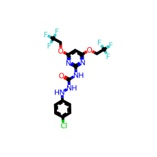 O=C(NNc1ccc(Cl)cc1)Nc1nc(OCC(F)(F)F)cc(OCC(F)(F)F)n1